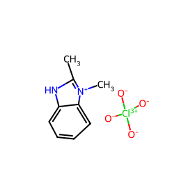 Cc1[nH]c2ccccc2[n+]1C.[O-][Cl+3]([O-])([O-])[O-]